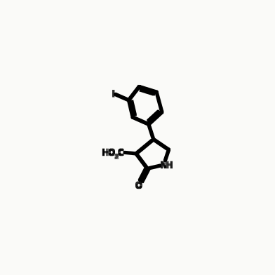 O=C(O)C1C(=O)NCC1c1cccc(I)c1